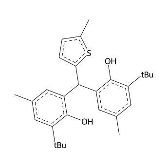 Cc1cc(C(c2ccc(C)s2)c2cc(C)cc(C(C)(C)C)c2O)c(O)c(C(C)(C)C)c1